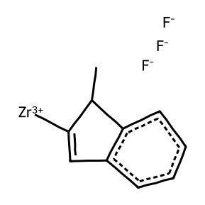 CC1[C]([Zr+3])=Cc2ccccc21.[F-].[F-].[F-]